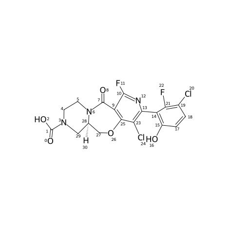 O=C(O)N1CCN2C(=O)c3c(F)nc(-c4c(O)ccc(Cl)c4F)c(Cl)c3OC[C@H]2C1